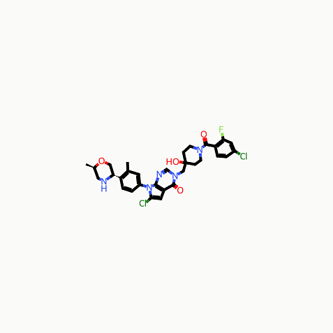 Cc1cc(-n2c(Cl)cc3c(=O)n(CC4(O)CCN(C(=O)c5ccc(Cl)cc5F)CC4)cnc32)ccc1[C@H]1CO[C@H](C)CN1